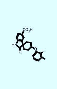 Cc1cccc(OC2CCC3(CC2)C(=O)Nc2ccc(C(=O)O)cc23)c1F